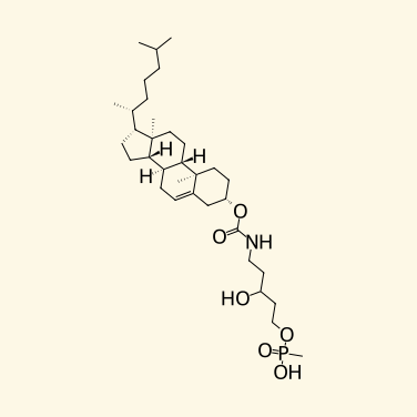 CC(C)CCC[C@@H](C)[C@H]1CC[C@H]2[C@@H]3CC=C4C[C@@H](OC(=O)NCCC(O)CCOP(C)(=O)O)CC[C@]4(C)[C@H]3CC[C@]12C